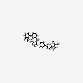 Cc1noc(-c2ccc(C3=CC=C(C4(C(=O)O)CC4)CC3)cc2)c1Nc1cccc(-c2cccc(F)c2Cl)n1